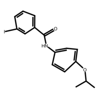 CC(C)Oc1ccc(NC(=O)c2cccc(I)c2)cc1